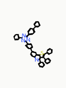 c1ccc(-c2ccc(-c3nc(-c4ccccc4)nc(-c4ccc(-c5ccc6nc(-c7ccccc7)c7c(-c8ccccc8)c(-c8ccccc8)sc7c6c5)cc4)n3)cc2)cc1